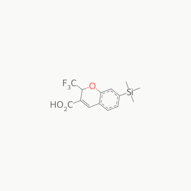 C[Si](C)(C)c1ccc2c(c1)OC(C(F)(F)F)C(C(=O)O)=C2